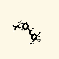 COc1ccc(C(=O)Cc2cc(OC)c(OC)c(OC)c2)cc1NC(=O)C(C)F